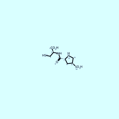 O=C(O)[C@H](CS)NC(=O)[C@H]1C[C@H](S(=O)(=O)O)CN1